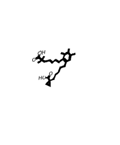 Cc1cc(CCCCCC2(C(=O)O)CC2)c(CCCCCC(C)(C)C(=O)O)c(C)c1C